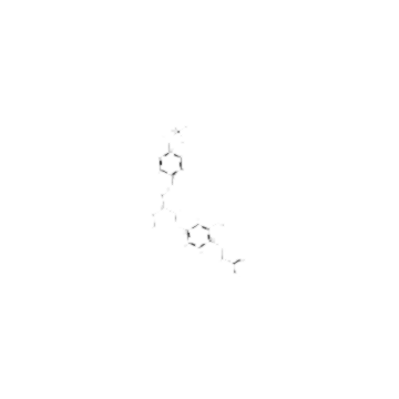 CCC(COc1ccc(OC(F)(F)F)cc1)CSc1ccc(OCC(=O)O)c(C)c1